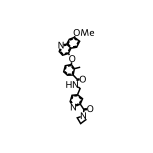 COc1ccc2c(Oc3cccc(C(=O)NCc4ccnc(C(=O)N5CCC5)c4)c3C)ccnc2c1